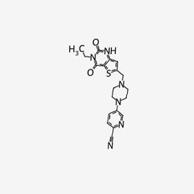 CCn1c(=O)[nH]c2cc(CN3CCN(c4ccc(C#N)nc4)CC3)sc2c1=O